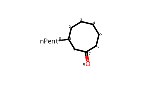 CCCCCC1CCCCCC(=O)C1